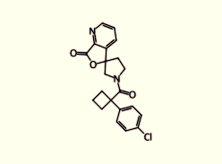 O=C1OC2(CCN(C(=O)C3(c4ccc(Cl)cc4)CCC3)C2)c2cccnc21